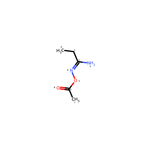 CCC(N)=NOC(C)=O